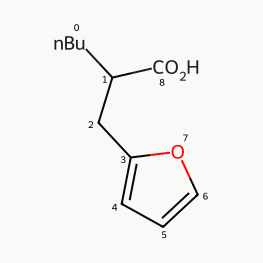 CCCCC(Cc1ccco1)C(=O)O